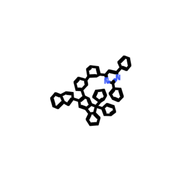 c1ccc(-c2cc(-c3cccc(-c4cccc(-c5cc6c(cc5-c5ccc7ccccc7c5)-c5ccccc5C6(c5ccccc5)c5ccccc5)c4)c3)nc(-c3ccccc3)n2)cc1